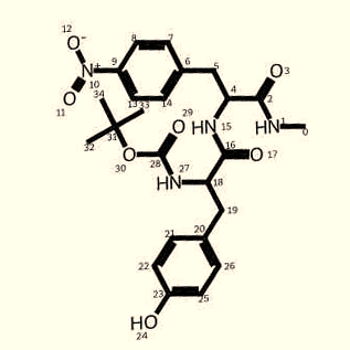 CNC(=O)C(Cc1ccc([N+](=O)[O-])cc1)NC(=O)C(Cc1ccc(O)cc1)NC(=O)OC(C)(C)C